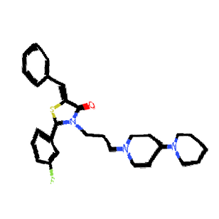 O=C1C(=Cc2ccccc2)SC(c2cccc(F)c2)N1CCCN1CCC(N2CCCCC2)CC1